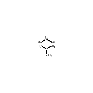 CC(C)(C)[SiH2]C(C)(C)C.C[N](C)[GeH3]